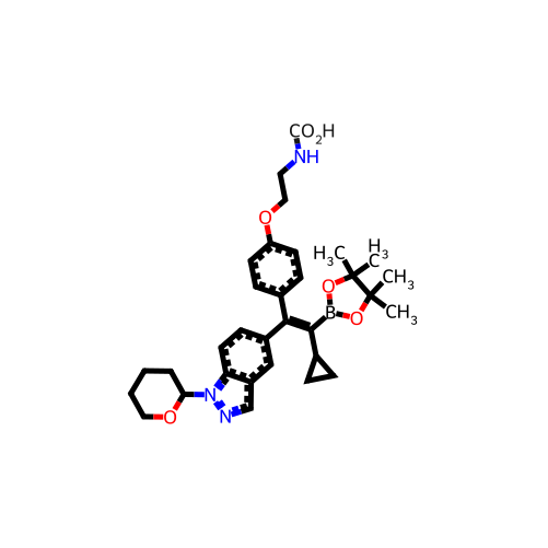 CC1(C)OB(C(=C(c2ccc(OCCNC(=O)O)cc2)c2ccc3c(cnn3C3CCCCO3)c2)C2CC2)OC1(C)C